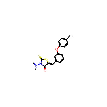 CN(C)N1C(=O)C(=Cc2cccc(Oc3ccc(C(C)(C)C)cc3)c2)SC1=S